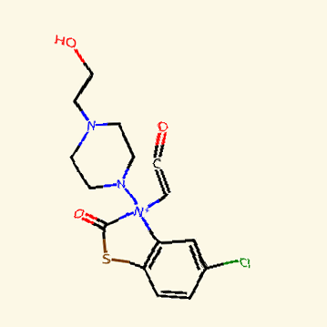 O=C=C[N+]1(N2CCN(CCO)CC2)C(=O)Sc2ccc(Cl)cc21